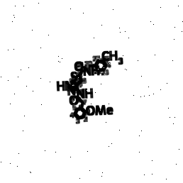 COc1ccccc1CC(=O)Nc1n[nH]c2sc(C(=O)NCc3cccc(C)c3)cc12